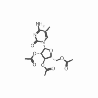 CC(=O)OC[C@H]1O[C@@H](n2cc(C)c(N)nc2=O)[C@@H](OC(C)=O)[C@@H]1OC(C)=O